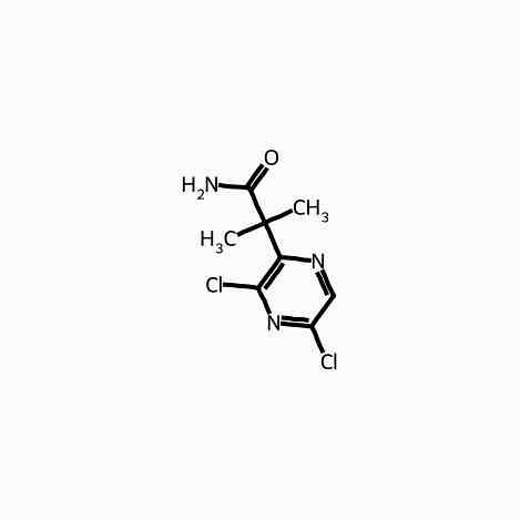 CC(C)(C(N)=O)c1ncc(Cl)nc1Cl